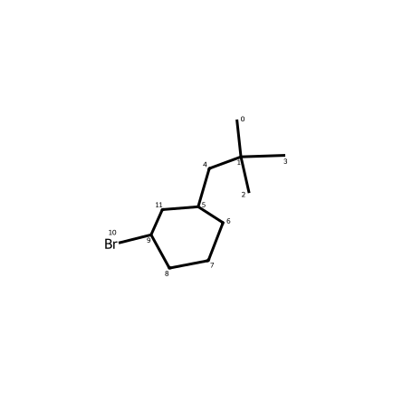 CC(C)(C)CC1CCCC(Br)C1